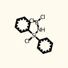 ClB(Cl)N[Si](Cl)(c1ccccc1)c1ccccc1